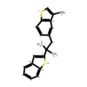 CC(C)(C)c1csc2ccc(CC(C)(C)c3cc4ccccc4s3)cc12